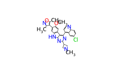 COc1cc2c(cc1-c1c(C)noc1C)[nH]c1nc(C3CN(C)C3)nc(-c3ccnc4ccc(Cl)cc34)c12